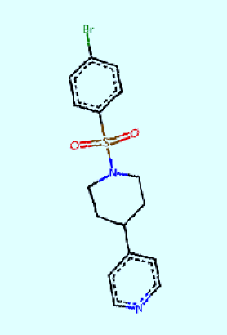 O=S(=O)(c1ccc(Br)cc1)N1CCC(c2ccncc2)CC1